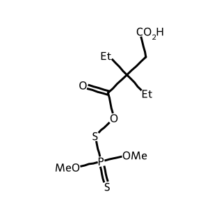 CCC(CC)(CC(=O)O)C(=O)OSP(=S)(OC)OC